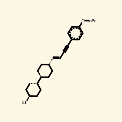 CCCOc1ccc(C#CC=C[C@H]2CC[C@H]([C@H]3CC[C@H](CC)CC3)CC2)cc1